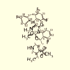 CC[C@H]1CNC[C@H](CCc2c(F)cccc2N(C(=O)OC)C(=O)[C@@H](N)[C@@H](c2ccc(F)cc2)c2cc(F)cc(F)c2)N1S(C)(=O)=O